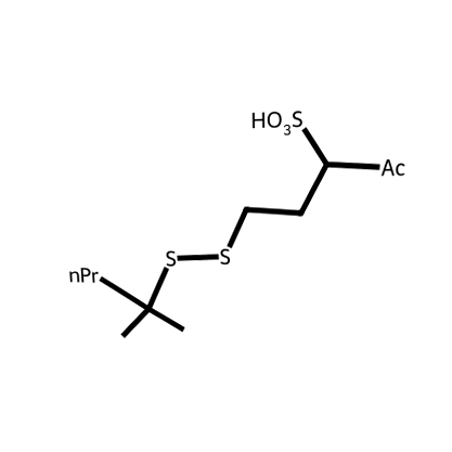 CCCC(C)(C)SSCCC(C(C)=O)S(=O)(=O)O